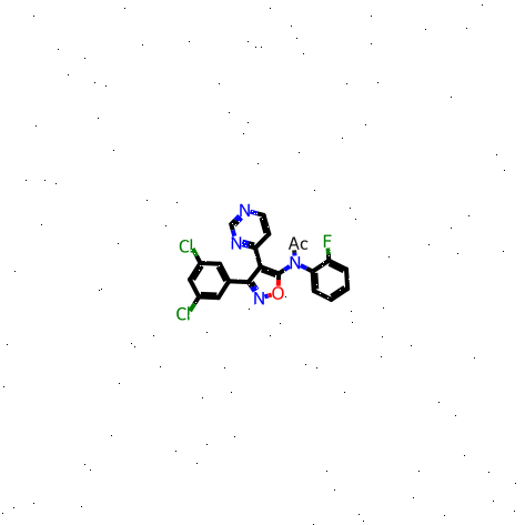 CC(=O)N(c1ccccc1F)c1onc(-c2cc(Cl)cc(Cl)c2)c1-c1ccncn1